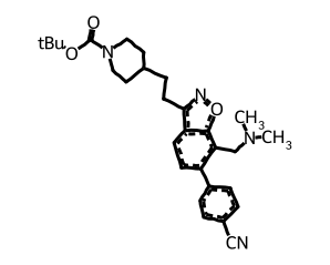 CN(C)Cc1c(-c2ccc(C#N)cc2)ccc2c(CCC3CCN(C(=O)OC(C)(C)C)CC3)noc12